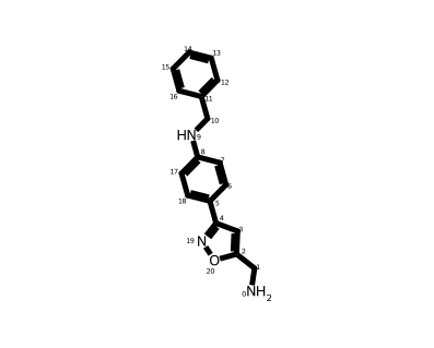 NCc1cc(-c2ccc(NCc3ccccc3)cc2)no1